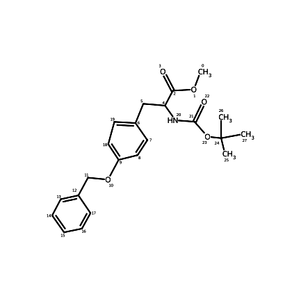 COC(=O)C(Cc1ccc(OCc2ccccc2)cc1)NC(=O)OC(C)(C)C